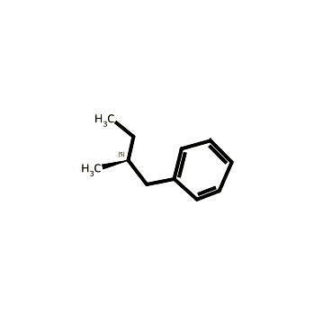 CC[C@H](C)Cc1c[c]ccc1